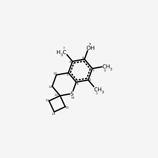 Cc1c(C)c2c(c(C)c1O)CCC1(CCC1)S2